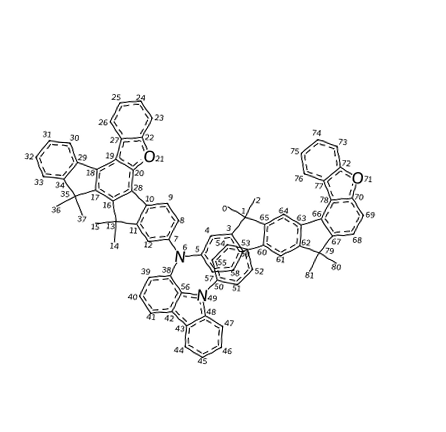 CC1(C)c2cc(N(c3ccc4c(c3)C(C)(C)c3c5c(c6c(oc7ccccc76)c3-4)-c3ccccc3C5(C)C)c3cccc4c5ccccc5n(-c5ccccc5)c34)ccc2-c2cc3c(cc21)-c1c(ccc2oc4ccccc4c12)C3(C)C